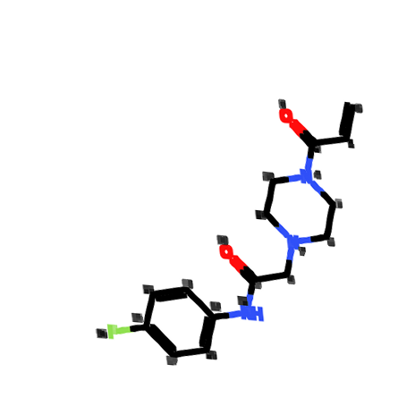 C=CC(=O)N1CCN(CC(=O)Nc2ccc(F)cc2)CC1